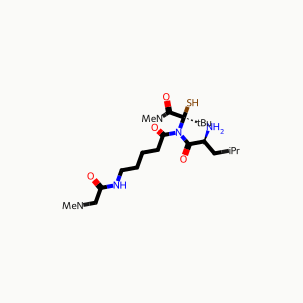 CNCC(=O)NCCCCC(=O)N(C(=O)[C@@H](N)CC(C)C)[C@](S)(C(=O)NC)C(C)(C)C